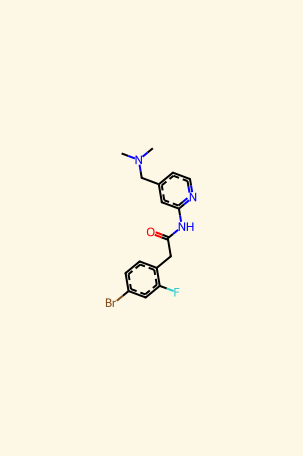 CN(C)Cc1ccnc(NC(=O)Cc2ccc(Br)cc2F)c1